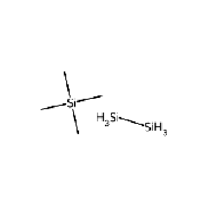 C[Si](C)(C)C.[SiH3][SiH3]